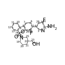 Nc1ncc(-c2ccc(-c3ccccc3S(=O)(=O)N3CCCC(CO)C3)cc2F)cc1F